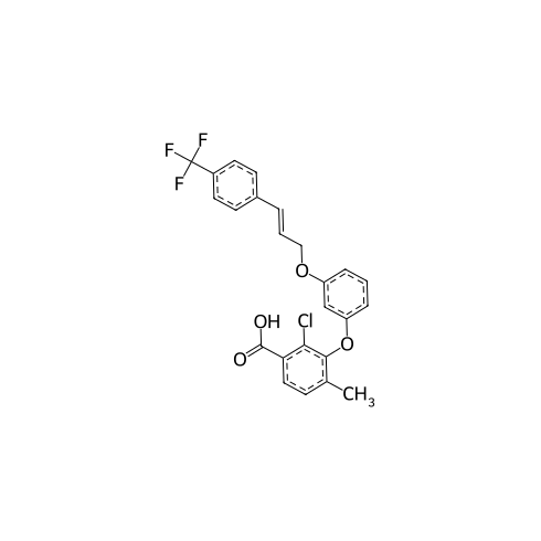 Cc1ccc(C(=O)O)c(Cl)c1Oc1cccc(OCC=Cc2ccc(C(F)(F)F)cc2)c1